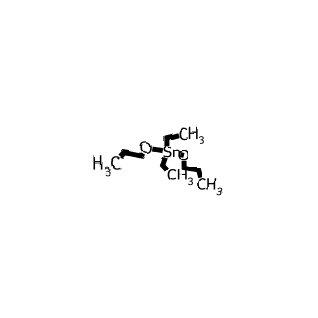 CCC[O][Sn]([CH2]C)([CH2]C)[O]CCC